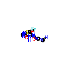 CSc1ccc(OC(F)F)c(-c2nn(CC(=O)N3CCC(N4CCC[C@@H](C#N)C4)CC3)cc2NCC(=O)c2cnn3cccnc23)c1